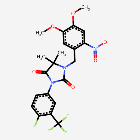 COc1cc(CN2C(=O)N(c3ccc(F)c(C(F)(F)F)c3)C(=O)C2(C)C)c([N+](=O)[O-])cc1OC